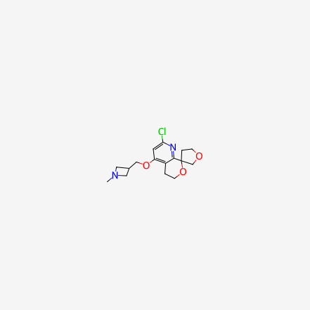 CN1CC(COc2cc(Cl)nc3c2CCOC32CCOC2)C1